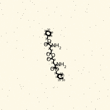 NC(CCC(=O)OC(=O)CCC(N)C(=O)OCc1ccccc1)C(=O)OCc1ccccc1